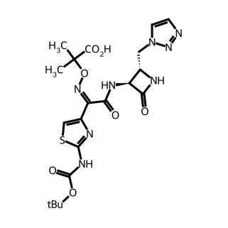 CC(C)(C)OC(=O)Nc1nc(C(=NOC(C)(C)C(=O)O)C(=O)N[C@@H]2C(=O)N[C@H]2Cn2ccnn2)cs1